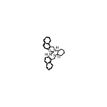 NP1(=O)N(Cc2cccc3ccccc23)[C@H]2CCCC[C@@H]2N1Cc1cccc2ccccc12